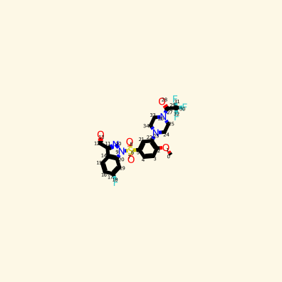 COc1ccc(S(=O)(=O)n2nc(C=O)c3ccc(F)cc32)cc1N1CCN(C(=O)C(F)(F)F)CC1